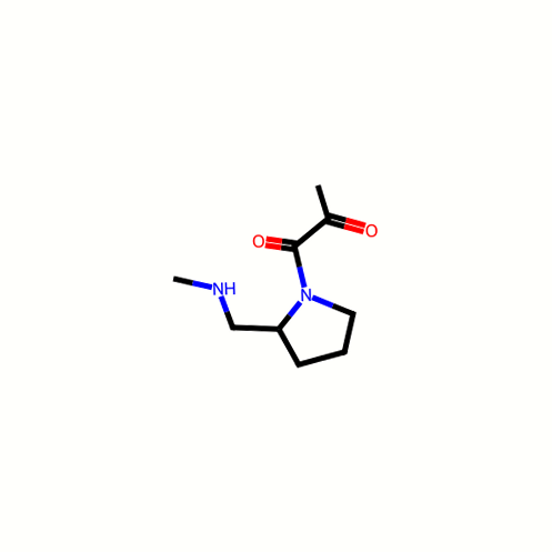 CNCC1CCCN1C(=O)C(C)=O